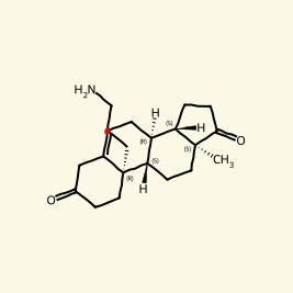 C[C@]12CC[C@H]3[C@@H](CC=C4CC(=O)CC[C@@]43CCCN)[C@@H]1CCC2=O